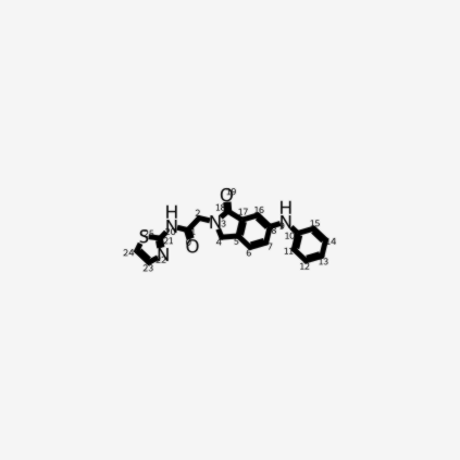 O=C(CN1Cc2ccc(Nc3ccccc3)cc2C1=O)Nc1nccs1